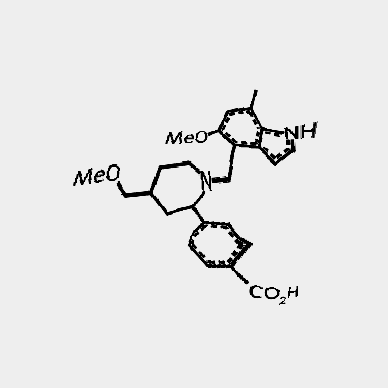 COCC1CCN(Cc2c(OC)cc(C)c3[nH]ccc23)C(c2ccc(C(=O)O)cc2)C1